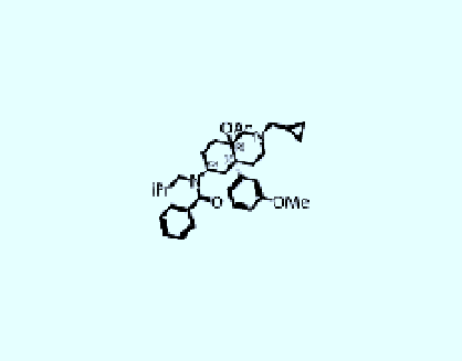 COc1cccc([C@@]23CCN(CC4CC4)C[C@@]2(OC(C)=O)CC[C@H](N(CC(C)C)C(=O)c2ccccc2)C3)c1